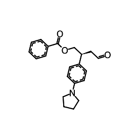 O=CC[C@H](COC(=O)c1ccccc1)c1ccc(N2CCCC2)cc1